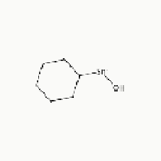 [OH][Sn][CH]1CCCCC1